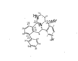 COc1ccc(Br)cc1CCc1c(C2=NCCCN2)cccc1-c1ccccc1